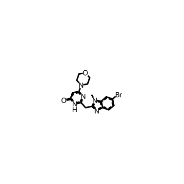 Cn1c(Cc2nc(N3CCOCC3)cc(=O)[nH]2)nc2ccc(Br)cc21